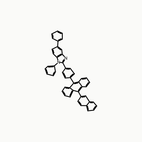 c1ccc(-c2ccc3c(c2)nc(-c2ccc(-c4c5ccccc5c(-c5ccc6ccccc6c5)c5ccccc45)cc2)n3-c2ccccc2)cc1